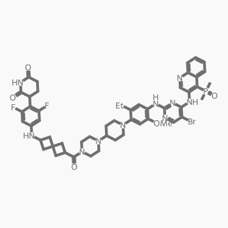 CCc1cc(Nc2ncc(Br)c(Nc3cnc4ccccc4c3P(C)(C)=O)n2)c(OC)cc1N1CCC(N2CCN(C(=O)C3CC4(CC(Nc5cc(F)c(C6CCC(=O)NC6=O)c(F)c5)C4)C3)CC2)CC1